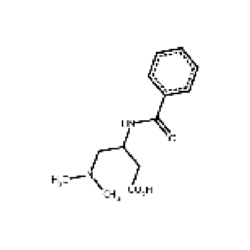 CN(C)CC(CC(=O)O)NC(=O)c1ccccc1